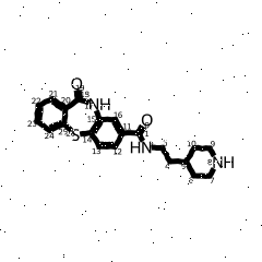 O=C(NCCC1CCNCC1)c1ccc2c(c1)NC(=O)c1ccccc1S2